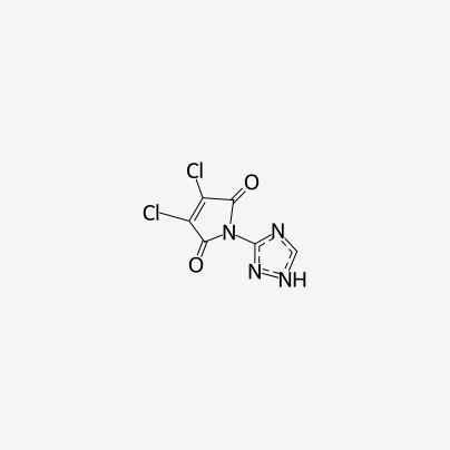 O=C1C(Cl)=C(Cl)C(=O)N1c1nc[nH]n1